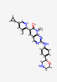 CCn1c(=O)c(-c2ncc(C3CC3)cc2C)cc2cnc(Nc3ccc(C4CNCCO4)cc3)nc21